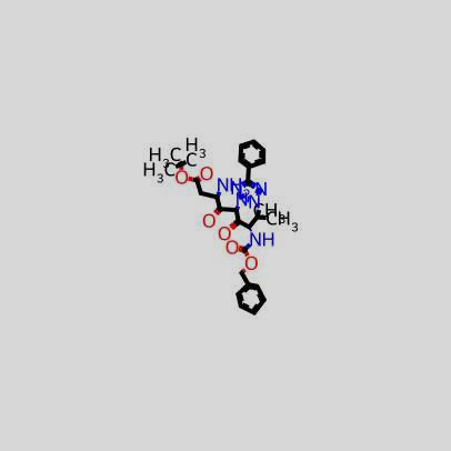 CC(C)[C@H](NC(=O)OCc1ccccc1)C(=O)C(C(=O)C(N)CC(=O)OC(C)(C)C)n1nnc(-c2ccccc2)n1